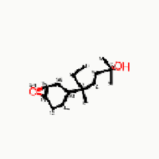 CCC(C)(CCC(C)(C)O)C1CCC2OC2C1